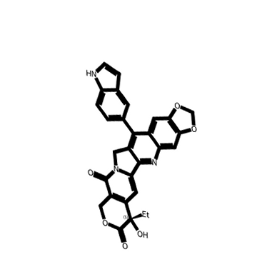 CC[C@@]1(O)C(=O)OCc2c1cc1n(c2=O)Cc2c-1nc1cc3c(cc1c2-c1ccc2[nH]ccc2c1)OCO3